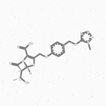 C[C@@H](O)[C@H]1C(=O)N2C(C(=O)O)=C(COc3ccc(CSc4nnnn4C)cc3)S[C@H]12